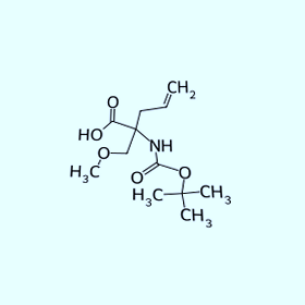 C=CCC(COC)(NC(=O)OC(C)(C)C)C(=O)O